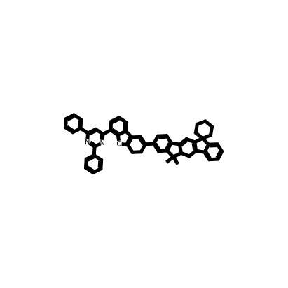 CC1(C)c2cc(C3=Cc4c(oc5c(-c6cc(-c7ccccc7)nc(-c7ccccc7)n6)cccc45)CC3)ccc2C2=CC3=C(CC21)c1ccccc1C31CCCCC1